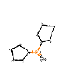 [Se]=[PH](C1CCCC1)C1CCCC1